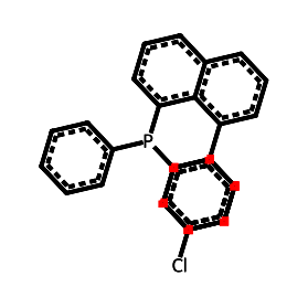 Clc1ccc(-c2cccc3cccc(P(c4ccccc4)c4ccccc4)c23)cc1